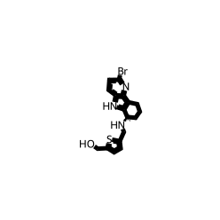 OCc1ccc(CN[C@@H]2CCCc3c2[nH]c2ccc(Br)nc32)s1